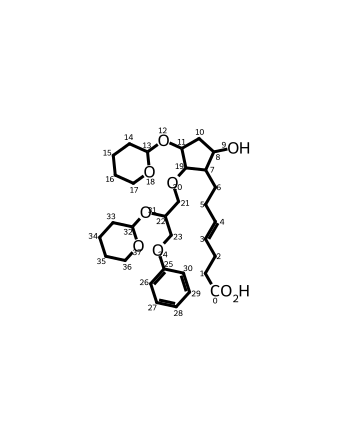 O=C(O)CCC=CCCC1C(O)CC(OC2CCCCO2)C1OCC(COc1ccccc1)OC1CCCCO1